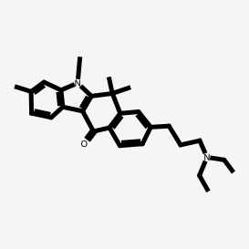 CCN(CC)CCCc1ccc2c(c1)C(C)(C)c1c(c3ccc(C)cc3n1C)C2=O